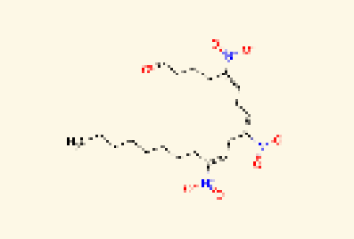 CCCCCCCC/C(=C\C/C(=C\C/C=C(\CCC[C]=O)[N+](=O)[O-])[N+](=O)[O-])[N+](=O)[O-]